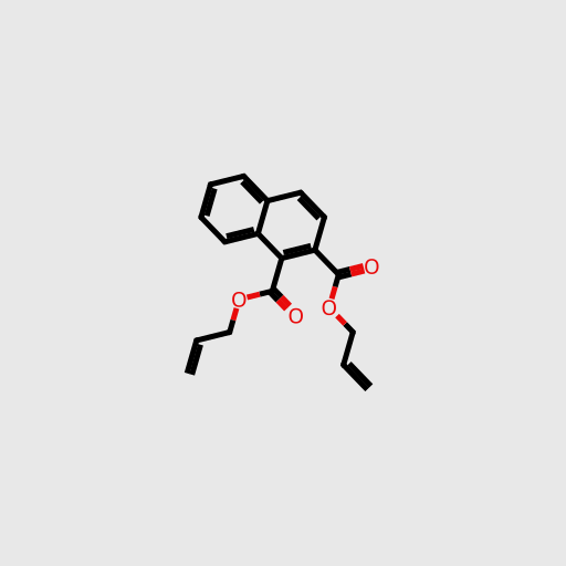 C=CCOC(=O)c1ccc2ccccc2c1C(=O)OCC=C